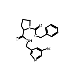 CCc1cncc(CNC(=O)C2CCCN2C(=O)OCc2ccccc2)c1